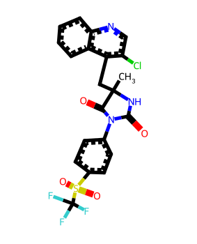 CC1(Cc2c(Cl)cnc3ccccc23)NC(=O)N(c2ccc(S(=O)(=O)C(F)(F)F)cc2)C1=O